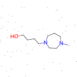 CN1CCCN(CCCCO)CC1